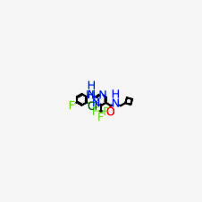 C=C(/N=C(\C(=C/N)C(=O)NCC1CCC1)C(F)(F)F)Nc1ccc(F)cc1Cl